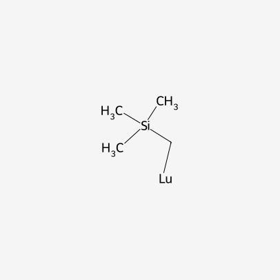 C[Si](C)(C)[CH2][Lu]